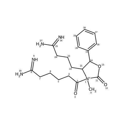 C[N+]1(C(=O)CCCCC(=N)N)C(=O)OC(c2ccccc2)C1CCCC(=N)N